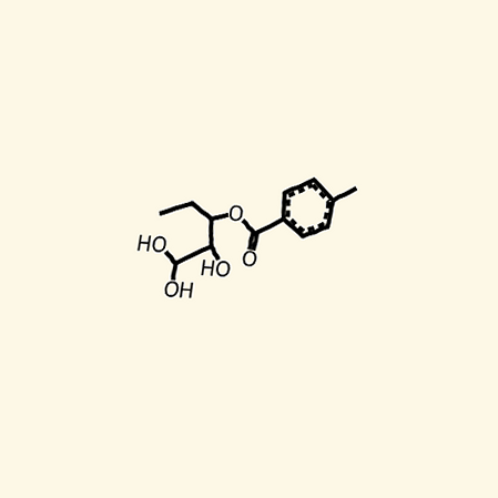 CCC(OC(=O)c1ccc(C)cc1)C(O)C(O)O